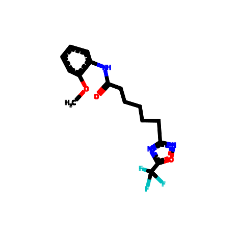 COc1ccccc1NC(=O)CCCCCc1noc(C(F)(F)F)n1